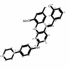 COc1cc(C)ccc1Oc1nc(Nc2ccc(N3CCOCC3)cc2)ncc1/N=C/c1cccc(Cl)c1